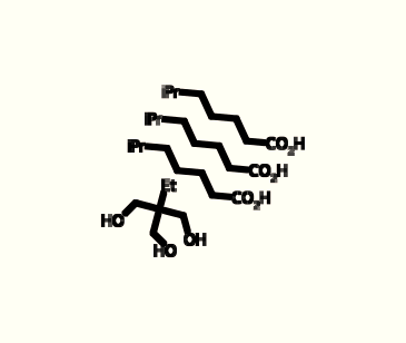 CC(C)CCCCC(=O)O.CC(C)CCCCC(=O)O.CC(C)CCCCC(=O)O.CCC(CO)(CO)CO